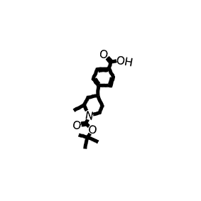 CC1CC(c2ccc(C(=O)O)cc2)CCN1C(=O)OC(C)(C)C